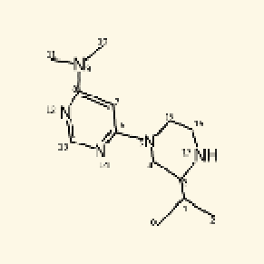 CC(C)C1CN(c2cc(N(C)C)ncn2)CCN1